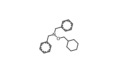 c1ccc(CN(Cc2ccccc2)OCC2CCCCC2)cc1